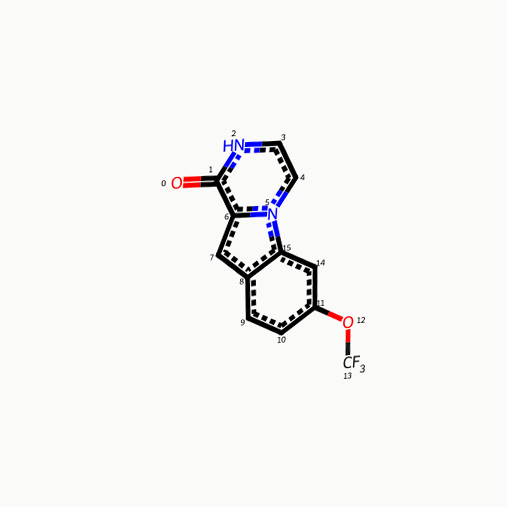 O=c1[nH]ccn2c1cc1ccc(OC(F)(F)F)cc12